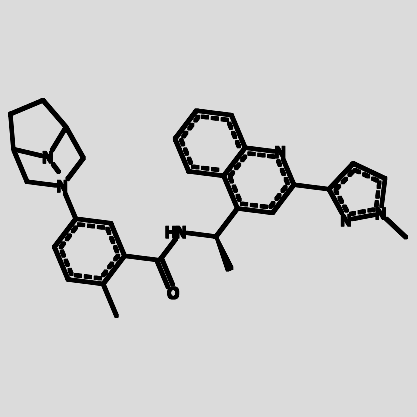 Cc1ccc(N2CC3CCC(C2)N3C)cc1C(=O)N[C@H](C)c1cc(-c2ccn(C)n2)nc2ccccc12